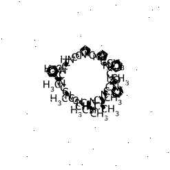 CC[C@H](C)C1CN(C)CCN(C)CCN(C)C(CC2CCCCC2)CN(C)CCNCCN2CCCC2CNC2(CCCC2)CN(C)C(C2CCCCC2)CN(C)C(C(=O)N2CCCCC2)CCN(C)C(CC(C)C)CN1